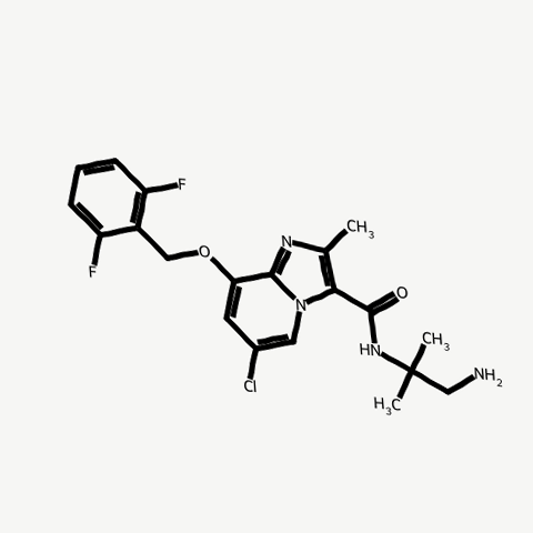 Cc1nc2c(OCc3c(F)cccc3F)cc(Cl)cn2c1C(=O)NC(C)(C)CN